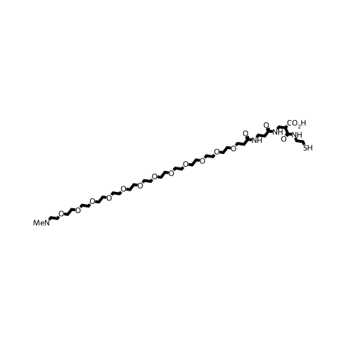 CNCCOCCOCCOCCOCCOCCOCCOCCOCCOCCOCCOCCOCCC(=O)NCCC(=O)NCC(C(=O)O)C(=O)NCCS